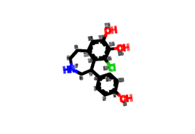 Oc1ccc(C2CNCCc3cc(O)c(O)c(Cl)c32)cc1